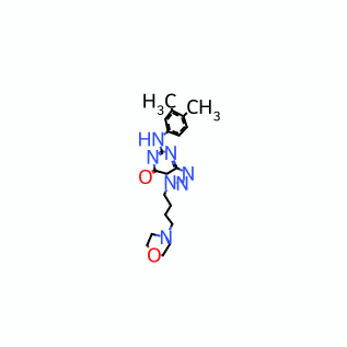 Cc1ccc(NC2=NC(=O)C3C(=N2)N=NN3CCCCN2CCOCC2)cc1C